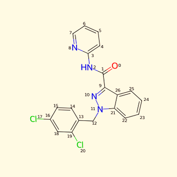 O=C(Nc1ccccn1)c1nn(Cc2ccc(Cl)cc2Cl)c2ccccc12